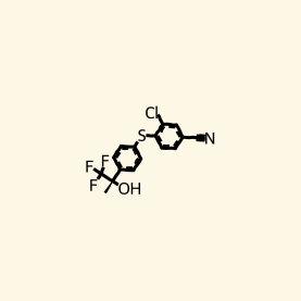 C[C@](O)(c1ccc(Sc2ccc(C#N)cc2Cl)cc1)C(F)(F)F